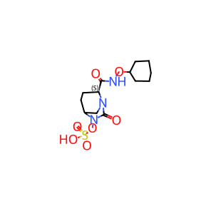 O=C(NOC1CCCCC1)[C@@H]1CCC2CN1C(=O)N2OS(=O)(=O)O